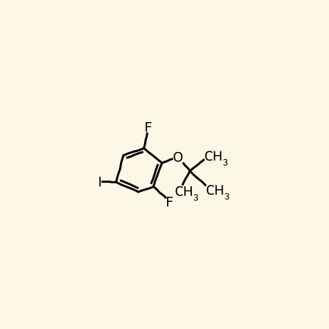 CC(C)(C)Oc1c(F)cc(I)cc1F